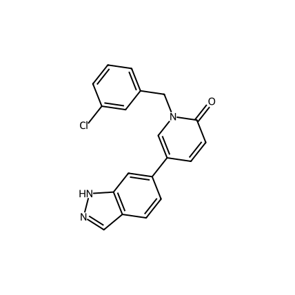 O=c1ccc(-c2ccc3cn[nH]c3c2)cn1Cc1cccc(Cl)c1